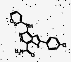 NC(=O)c1nnc(NC2=CC=COS2)c2cc(-c3ccc(Cl)cc3)sc12